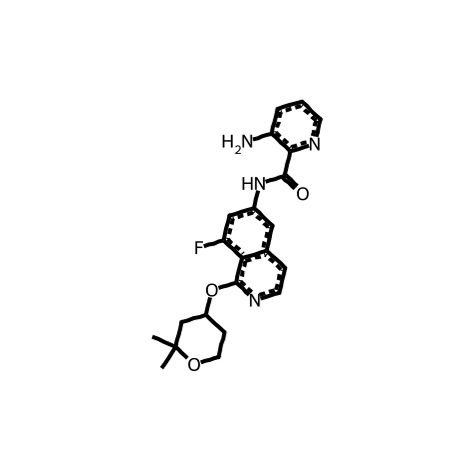 CC1(C)CC(Oc2nccc3cc(NC(=O)c4ncccc4N)cc(F)c23)CCO1